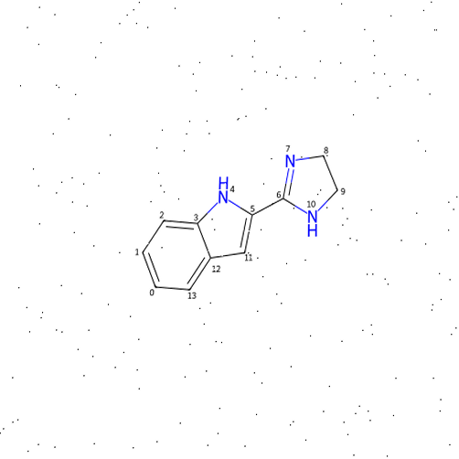 c1ccc2[nH]c(C3=NCCN3)cc2c1